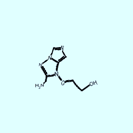 Nc1nn2cncc2n1OCCO